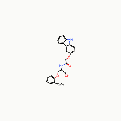 COc1ccccc1OCC(CO)NC(=O)COc1ccc2[nH]c3ccccc3c2c1